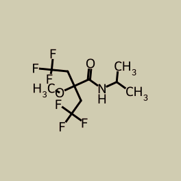 COC(CC(F)(F)F)(CC(F)(F)F)C(=O)NC(C)C